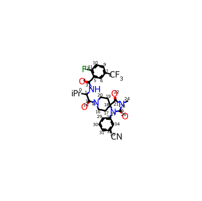 CC(C)C(NC(=O)c1cc(C(F)(F)F)ccc1F)C(=O)N1CCC2(CC1)C(=O)N(C)C(=O)N2c1cccc(C#N)c1